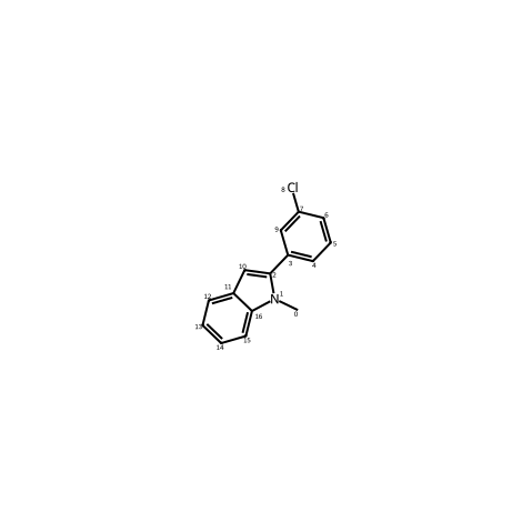 Cn1c(-c2cccc(Cl)c2)cc2ccccc21